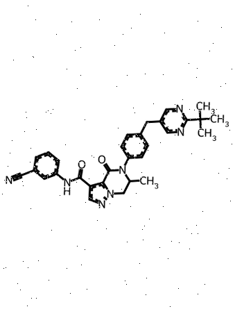 CC1Cn2ncc(C(=O)Nc3cccc(C#N)c3)c2C(=O)N1c1ccc(Cc2cnc(C(C)(C)C)nc2)cc1